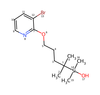 CC(C)(CCCOc1ncccc1Br)[Si](C)(C)O